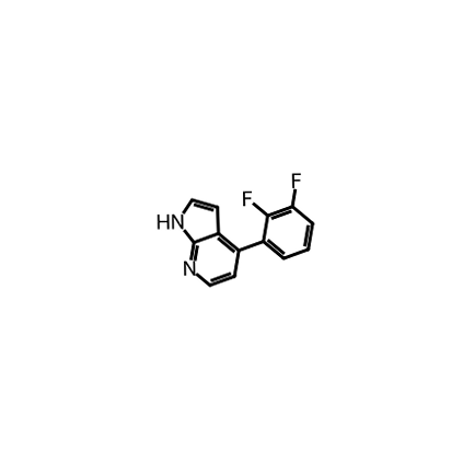 Fc1cccc(-c2ccnc3[nH]ccc23)c1F